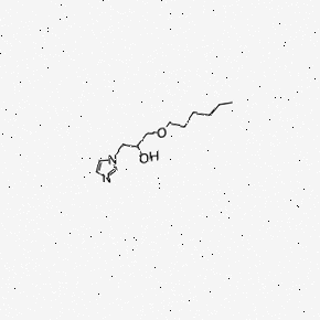 CCCCCCOCC(O)Cn1ccnc1